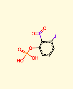 O=I(=O)c1c(I)cccc1OP(=O)(O)O